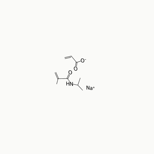 C=C(C)C(=O)NC(C)C.C=CC(=O)[O-].[Na+]